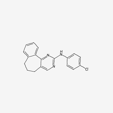 Clc1ccc(Nc2ncc3c(n2)-c2ccccc2CCC3)cc1